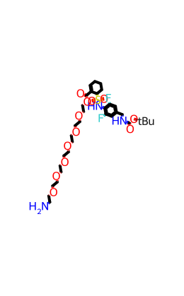 CC(C)(C)OC(=O)NCc1cc(F)c(NS(=O)(=O)C2CCCC=C2C(=O)OCCOCCOCCOCCOCCOCCOCCN)c(F)c1